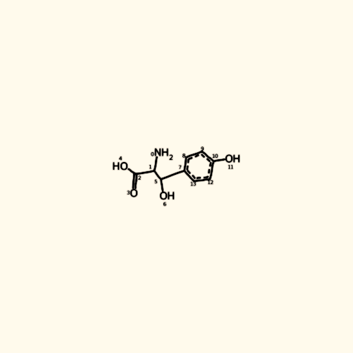 NC(C(=O)O)C(O)c1ccc(O)cc1